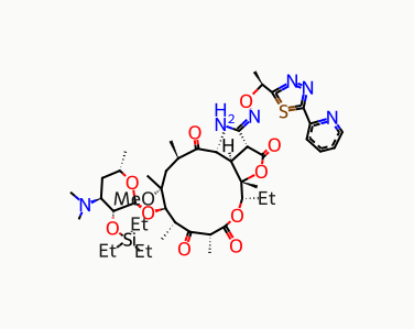 CC[C@@H]1OC(=O)[C@H](C)C(=O)[C@H](C)[C@@H](O[C@@H]2O[C@@H](C)C[C@H](N(C)C)[C@H]2O[Si](CC)(CC)CC)[C@](C)(OC)C[C@@H](C)C(=O)[C@H](C)[C@H]2[C@H](/C(N)=N/O[C@@H](C)c3nnc(-c4ccccn4)s3)C(=O)O[C@@]21C